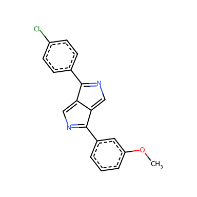 COc1cccc(C2=NC=C3C2=CN=C3c2ccc(Cl)cc2)c1